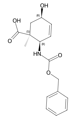 C[C@]1(C(=O)O)C[C@@H](O)C=C[C@H]1NC(=O)OCc1ccccc1